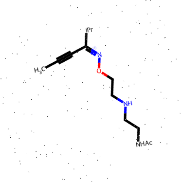 CC#C/C(=N\OCCNCCNC(C)=O)C(C)C